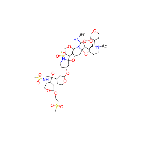 CC(=O)N1CCC(OC2(C3CCOCC3)CC(OC3(C4CCOCC4)CC(OC4CC(C([O])(CNS(C)(=O)=O)C5CCOC(OCCS(C)(=O)=O)C5)CCO4)CCN3S(C)(=O)=O)CCN2C(=O)NC(C)C)CC1C1CCOCC1